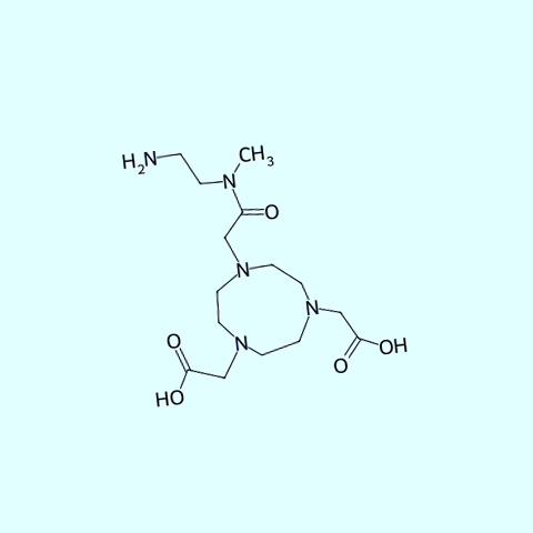 CN(CCN)C(=O)CN1CCN(CC(=O)O)CCN(CC(=O)O)CC1